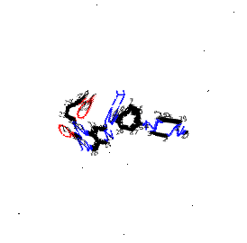 CN1CCN(c2ccc(Nc3cc4c(cn3)cnc(=O)n4C3CCCO3)cc2)CC1